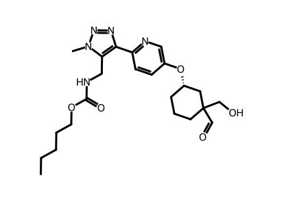 CCCCCOC(=O)NCc1c(-c2ccc(O[C@H]3CCCC(C=O)(CO)C3)cn2)nnn1C